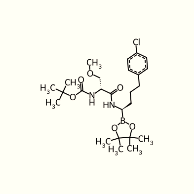 COC[C@@H](NC(=O)OC(C)(C)C)C(=O)N[C@@H](CCCc1ccc(Cl)cc1)B1OC(C)(C)C(C)(C)O1